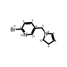 Brc1ccc(CN2C=CCC2)cn1